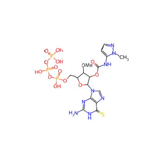 COC1C(COP(=O)(O)OP(=O)(O)OP(=O)(O)O)OC(n2cnc3c(=S)[nH]c(N)nc32)C1OC(=O)Nc1ccnn1C